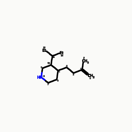 C=C(C)CCC1CCNCC1C(CC)CC